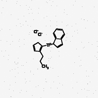 CCCC1=[C]([Ti+2][CH]2C=Cc3ccccc32)CC=C1.[Cl-].[Cl-]